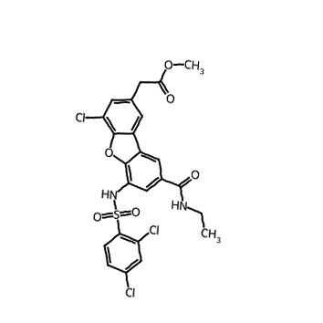 CCNC(=O)c1cc(NS(=O)(=O)c2ccc(Cl)cc2Cl)c2oc3c(Cl)cc(CC(=O)OC)cc3c2c1